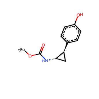 CC(C)(C)OC(=O)N[C@H]1C[C@@H]1c1ccc(O)cc1